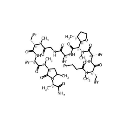 CC(C)CCC(=O)N(C)[C@@H](CC(C)C)C(=O)N[C@H](C(=O)N(C)[C@H](C(=O)N[C@H](C(=O)NCC(=O)N(C)[C@@H](CC(C)C)C(=O)N[C@H](C(=O)N(C)[C@H]1CC(C)N([C@@H](C)C(N)=O)C1=O)C(C)C)C(C)C)[C@@H]1OCC[C@H]1C)C(C)C